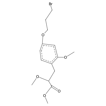 COC(=O)C(Cc1ccc(OCCCBr)cc1OC)OC